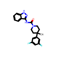 N#CC1(c2cc(F)cc(F)c2)CCN(C(=O)Nc2n[nH]c3ccccc23)CC1